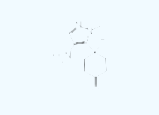 Cn1ncc([N+](=O)[O-])c1C1(F)CCC(=O)CC1